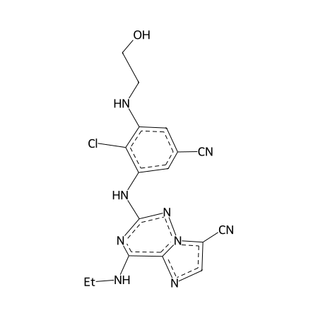 CCNc1nc(Nc2cc(C#N)cc(NCCO)c2Cl)nn2c(C#N)cnc12